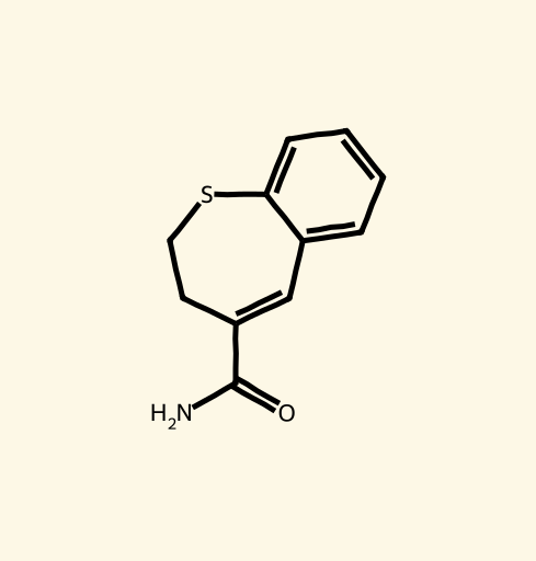 NC(=O)C1=Cc2ccccc2SCC1